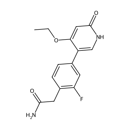 CCOc1cc(=O)[nH]cc1-c1ccc(CC(N)=O)c(F)c1